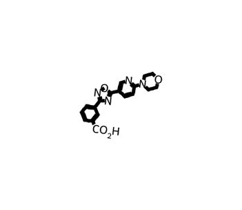 O=C(O)c1cccc(-c2noc(-c3ccc(N4CCOCC4)nc3)n2)c1